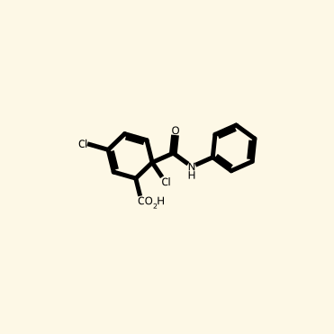 O=C(O)C1C=C(Cl)C=CC1(Cl)C(=O)Nc1ccccc1